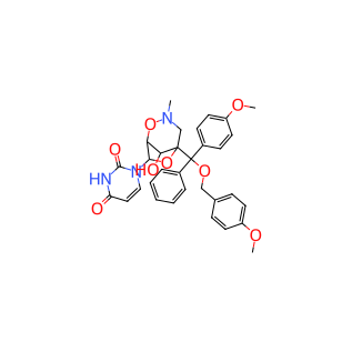 COc1ccc(COC(c2ccccc2)(c2ccc(OC)cc2)C23CN(C)OC(C(n4ccc(=O)[nH]c4=O)O2)C3O)cc1